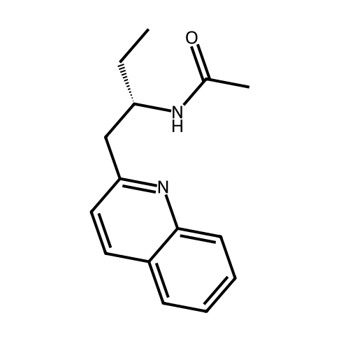 CC[C@@H](Cc1ccc2ccccc2n1)NC(C)=O